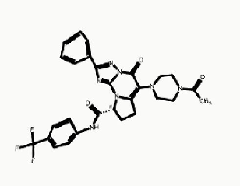 CC(=O)N1CCN(c2c3n(c4nc(-c5ccccc5)nn4c2=O)[C@@H](C(=O)Nc2ccc(C(F)(F)F)cc2)CC3)CC1